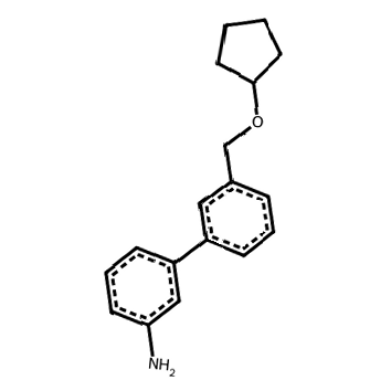 Nc1cccc(-c2cccc(COC3CCCC3)c2)c1